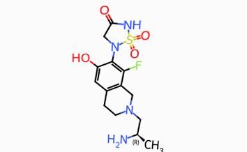 C[C@@H](N)CN1CCc2cc(O)c(N3CC(=O)NS3(=O)=O)c(F)c2C1